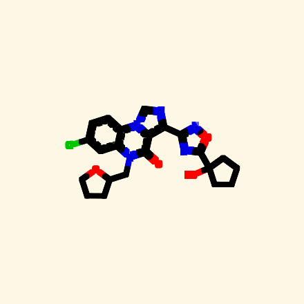 O=c1c2c(-c3noc(C4(O)CCCC4)n3)ncn2c2ccc(Cl)cc2n1CC1CCCO1